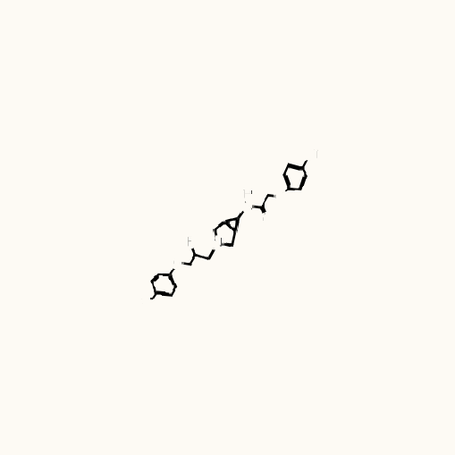 O=C(COc1ccc(Cl)cc1)NC1C2CN(CC(F)COc3ccc(Cl)cc3)CC21